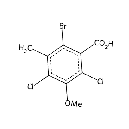 COc1c(Cl)c(C)c(Br)c(C(=O)O)c1Cl